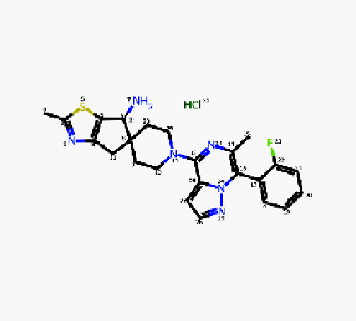 Cc1nc2c(s1)[C@@H](N)C1(CCN(c3nc(C)c(-c4ccccc4F)n4nccc34)CC1)C2.Cl